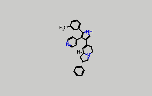 FC(F)(F)c1cccc(-c2[nH]cc(C3=C[C@@H]4C[C@@H](c5ccccc5)CN4CC3)c2-c2ccncc2)c1